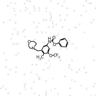 Cc1c(CN2CCOCC2)cc(NC(=O)Oc2ccccc2)cc1OC(F)(F)F